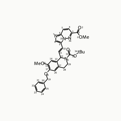 COC(=O)c1ccc2ncc(/C=C/C3c4cc(OC)c(OCc5ccccc5)cc4CCN3C(=O)OC(C)(C)C)n2n1